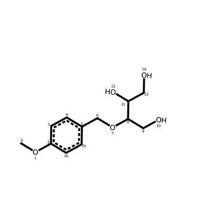 COc1ccc(COC(CO)C(O)CO)cc1